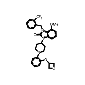 COc1cccc2c1n(Cc1ccccc1C(F)(F)F)c(=O)n2C1CCN(c2ccccc2OC2COC2)CC1